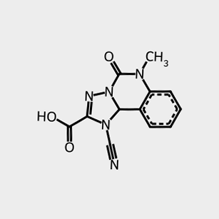 CN1C(=O)N2N=C(C(=O)O)N(C#N)C2c2ccccc21